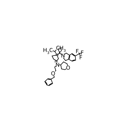 CC(C)[C@]1(C(=O)N2CCc3ccc(C(F)(F)F)cc3C2)CC[C@@H](N(CCOCc2ccccc2)C2CCOCC2)C1